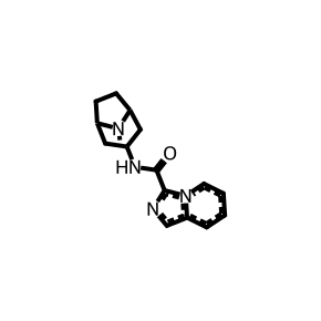 CN1C2CCC1CC(NC(=O)c1ncc3ccccn13)C2